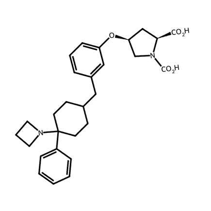 O=C(O)[C@@H]1C[C@H](Oc2cccc(CC3CCC(c4ccccc4)(N4CCC4)CC3)c2)CN1C(=O)O